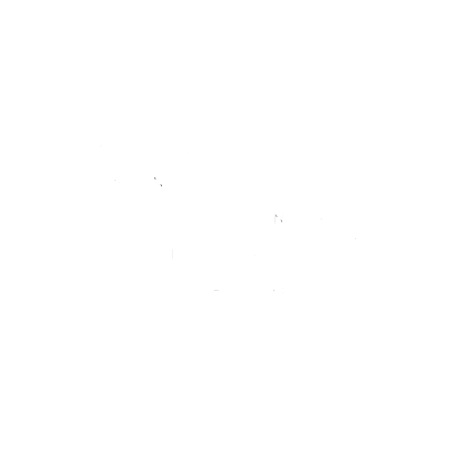 CC(C)(C)OC(=O)N1CC(CN(C(=O)C(F)(F)F)C2CC2c2ccccc2)C1